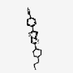 CCCC1CCC(c2cc3sc(-c4ccc(C#N)cc4)cc3s2)CC1